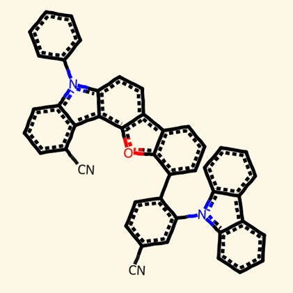 N#Cc1ccc(-c2cccc3c2oc2c3ccc3c2c2c(C#N)cccc2n3-c2ccccc2)c(-n2c3ccccc3c3ccccc32)c1